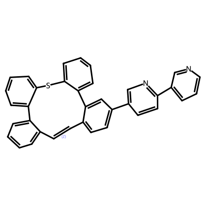 C1=C\c2ccc(-c3ccc(-c4cccnc4)nc3)cc2-c2ccccc2Sc2ccccc2-c2ccccc2/1